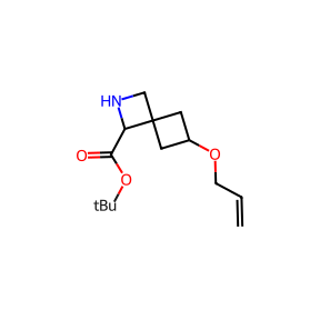 C=CCOC1CC2(CNC2C(=O)OC(C)(C)C)C1